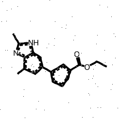 CCOC(=O)c1cccc(-c2cc(C)c3nc(C)[nH]c3c2)c1